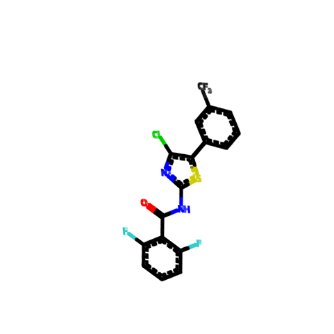 O=C(Nc1nc(Cl)c(-c2cccc(C(F)(F)F)c2)s1)c1c(F)cccc1F